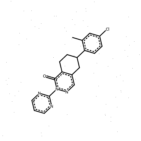 Cc1cc(Cl)ccc1C1CCc2c(cnn(-c3ncccn3)c2=O)C1